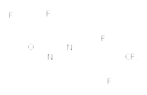 FC(F)On1ccc(C(F)(F)C(F)(F)F)n1